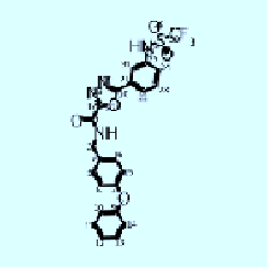 O=C(NCc1ccc(Oc2ccccc2)cc1)c1nnc(-c2cccc(NS(=O)(=O)C(F)(F)F)c2)o1